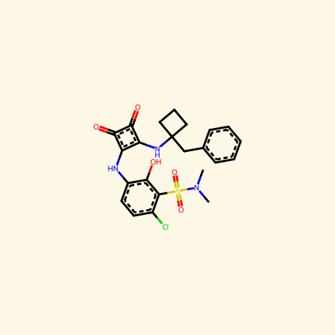 CN(C)S(=O)(=O)c1c(Cl)ccc(Nc2c(NC3(Cc4ccccc4)CCC3)c(=O)c2=O)c1O